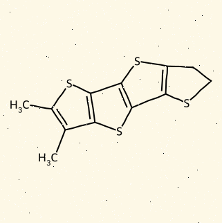 Cc1sc2c(sc3c4c(sc32)CCS4)c1C